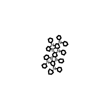 c1ccc(B2c3cc4c(cc3B3c5ccccc5N(c5ccccc5)c5cc(N(c6ccccc6)c6ccccc6)cc2c53)B2c3ccccc3N(c3ccccc3)c3cc(N(c5ccccc5)c5ccccc5)cc(c32)N4c2ccccc2)cc1